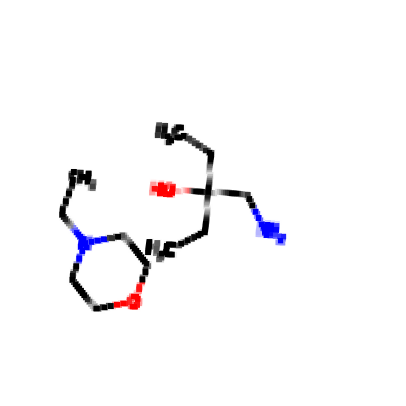 CCC(O)(CC)CN.CCN1CCOCC1